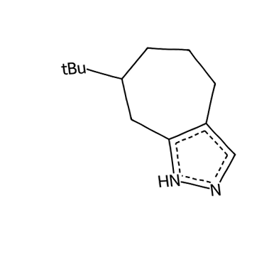 CC(C)(C)C1CCCc2cn[nH]c2C1